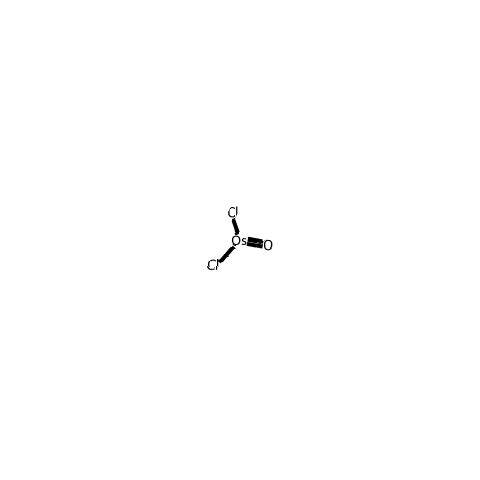 [O]=[Os]([Cl])[Cl]